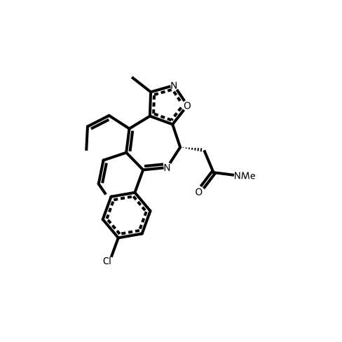 C/C=C\C1=C(/C=C\C)c2c(C)noc2[C@H](CC(=O)NC)N=C1c1ccc(Cl)cc1